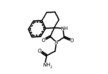 NC(=O)CN1C(=O)NC2(CCCc3ccccc32)C1=O